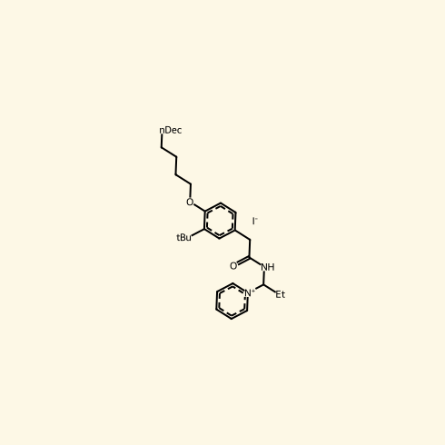 CCCCCCCCCCCCCCOc1ccc(CC(=O)NC(CC)[n+]2ccccc2)cc1C(C)(C)C.[I-]